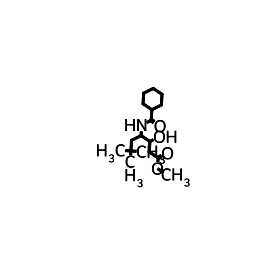 COC(=O)CC(O)C(CC(C)(C)C)NC(=O)C1CCCCC1